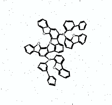 c1ccc(-c2cccc(N(c3cccc4c3oc3ccccc34)c3cc4c5ccccc5oc4c4c3c3cccc5c6c(N(c7cccc(-c8ccccc8)c7)c7cccc8c7oc7ccccc78)cc7c8ccccc8oc7c6n4c35)c2)cc1